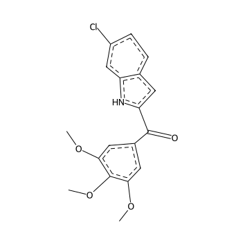 COc1cc(C(=O)c2cc3ccc(Cl)cc3[nH]2)cc(OC)c1OC